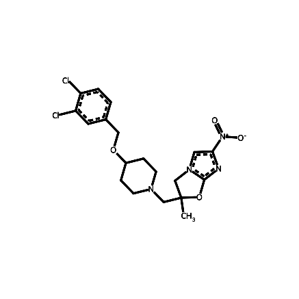 CC1(CN2CCC(OCc3ccc(Cl)c(Cl)c3)CC2)Cn2cc([N+](=O)[O-])nc2O1